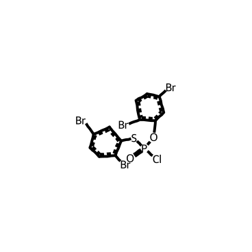 O=P(Cl)(Oc1cc(Br)ccc1Br)Sc1cc(Br)ccc1Br